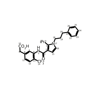 CC(C)c1c(C(=O)Nc2cc(CC(=O)O)ccc2C(F)(F)F)ccn1CCCc1ccccc1